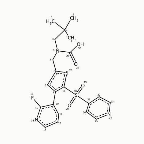 CC(C)(C)CN(Cc1cc(-c2cccnc2F)c(S(=O)(=O)c2ccncc2)s1)C(=O)O